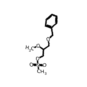 COC(COCc1ccccc1)COS(C)(=O)=O